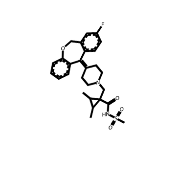 CC1C(C)C1(CN1CCC(=C2c3ccc(F)cc3COc3ccccc32)CC1)C(=O)NS(C)(=O)=O